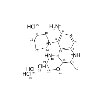 CC(Nc1ccc(N)c(N2CCCCC2)c1)C1CNCCO1.Cl.Cl.Cl.Cl